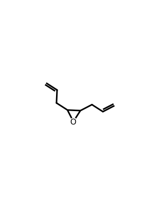 C=CCC1OC1CC=C